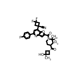 CC1(C)CC(C(=O)[C@H]2C[C@@](C)(O)C2)CCN1C(=O)c1cc2nc(-c3ccc(F)cc3)cc(C3(C#N)CC(F)(F)C3)c2o1